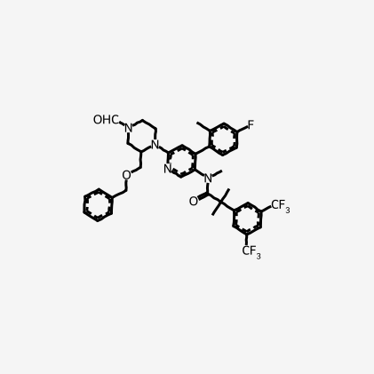 Cc1cc(F)ccc1-c1cc(N2CCN(C=O)CC2COCc2ccccc2)ncc1N(C)C(=O)C(C)(C)c1cc(C(F)(F)F)cc(C(F)(F)F)c1